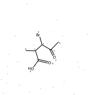 CC(=O)C(Br)C(C)C(=O)O